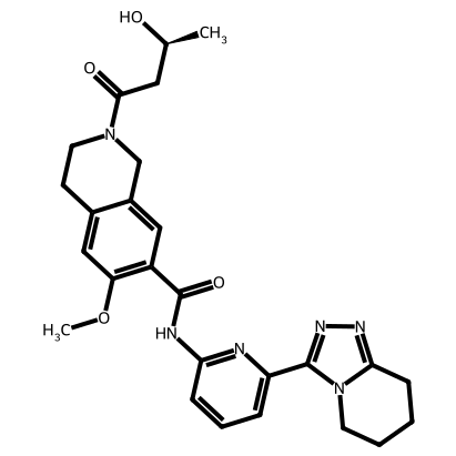 COc1cc2c(cc1C(=O)Nc1cccc(-c3nnc4n3CCCC4)n1)CN(C(=O)C[C@H](C)O)CC2